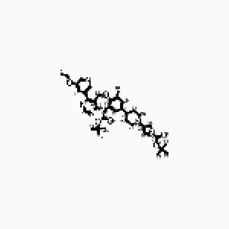 CCOc1cncc(-c2ncnc3c2COc2c(C)cc(C4CCN(C5CN(C(=O)OC(C)(C)C)C5)CC4)cc2N3C(=O)OC(C)(C)C)c1